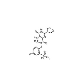 CN(Cc1ccc(F)cc1S(C)(=O)=O)C(=O)c1nc(C2CCOC2)[nH]c(=O)c1O